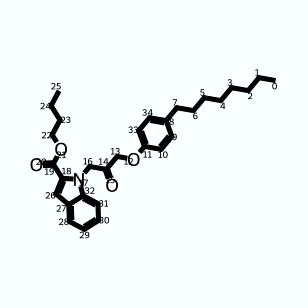 CCCCCCCCc1ccc(OCC(=O)Cn2c(C(=O)OCCCC)cc3ccccc32)cc1